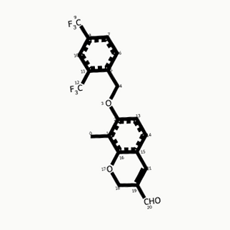 Cc1c(OCc2ccc(C(F)(F)F)cc2C(F)(F)F)ccc2c1OCC(C=O)=C2